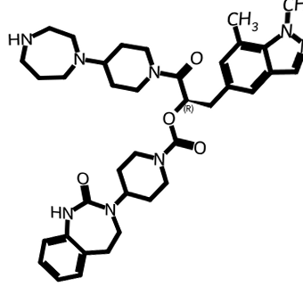 Cc1cc(C[C@@H](OC(=O)N2CCC(N3CCc4ccccc4NC3=O)CC2)C(=O)N2CCC(N3CCCNCC3)CC2)cc2cnn(C)c12